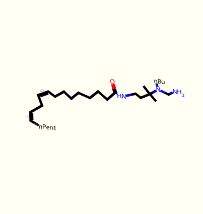 CCCCC/C=C\C/C=C\CCCCCCCC(=O)NCCC(C)(C)N(CN)CCCC